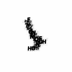 CC(C)(F)CN1CCC(COc2cnc(-c3ccc(C(O)N4CCC(O)C4)c(F)c3)cn2)CC1